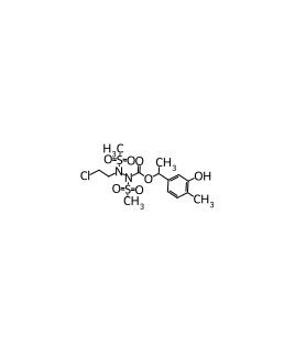 Cc1ccc(C(C)OC(=O)N(N(CCCl)S(C)(=O)=O)S(C)(=O)=O)cc1O